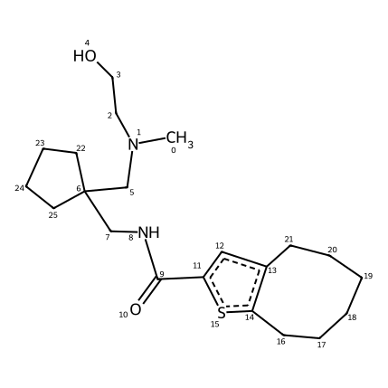 CN(CCO)CC1(CNC(=O)c2cc3c(s2)CCCCCC3)CCCC1